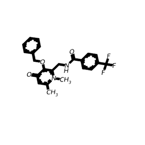 Cc1cc(=O)c(OCc2ccccc2)c(CNC(=O)c2ccc(C(F)(F)F)cc2)n1C